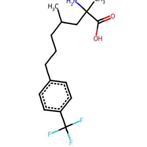 CC(CCCc1ccc(C(F)(F)F)cc1)CC(C)(N)C(=O)O